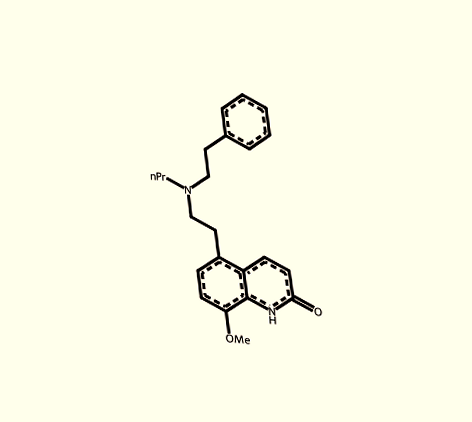 CCCN(CCc1ccccc1)CCc1ccc(OC)c2[nH]c(=O)ccc12